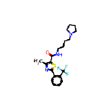 Cc1nc(-c2ccccc2C(F)(F)F)sc1C(=O)NCCCCN1CCCC1